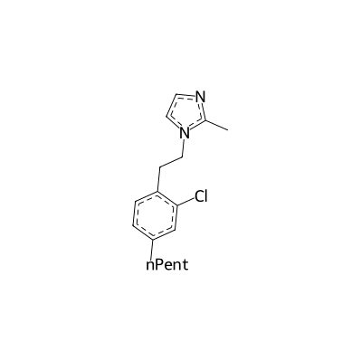 CCCCCc1ccc(CCn2ccnc2C)c(Cl)c1